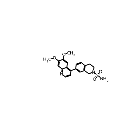 COc1cc2nccc(-c3ccc4c(c3)CN(S(N)(=O)=O)CC4)c2cc1OC